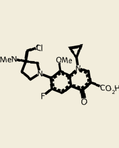 CNC1(CCl)CCN(c2c(F)cc3c(=O)c(C(=O)O)cn(C4CC4)c3c2OC)C1